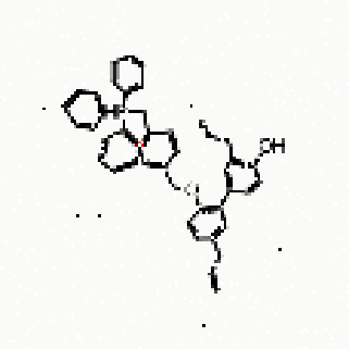 C=CCc1ccc(OCc2ccc(C[PH](c3ccccc3)(c3ccccc3)c3ccccc3)cc2)c(-c2ccc(O)c(CC=C)c2)c1